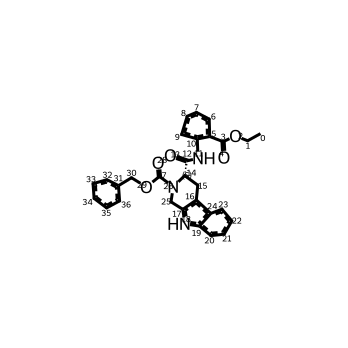 CCOC(=O)c1ccccc1NC(=O)[C@@H]1Cc2c([nH]c3ccccc23)CN1C(=O)OCc1ccccc1